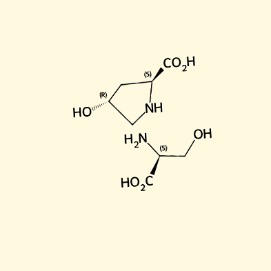 N[C@@H](CO)C(=O)O.O=C(O)[C@@H]1C[C@@H](O)CN1